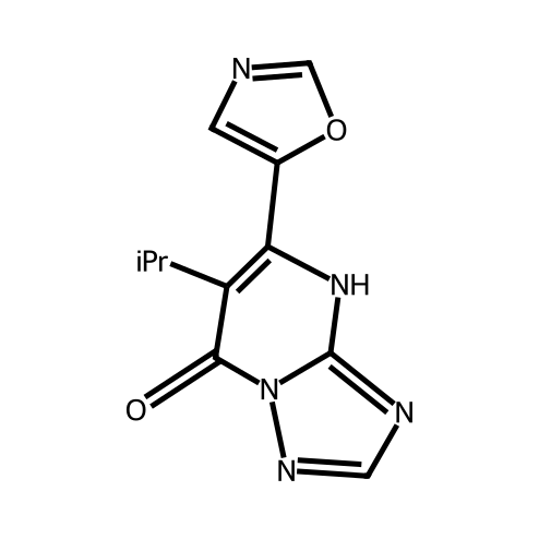 CC(C)c1c(-c2cnco2)[nH]c2ncnn2c1=O